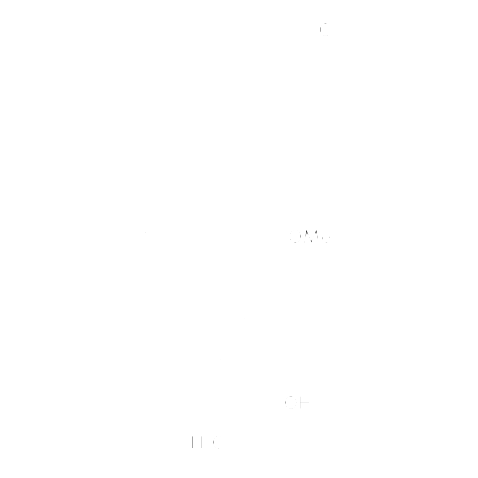 COc1c(CCC(C)O)c[c]cc1-c1ccc(Cl)cc1